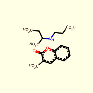 O=C(O)CCNC(CC(=O)O)C(=O)O.O=C(O)c1cc2ccccc2oc1=O